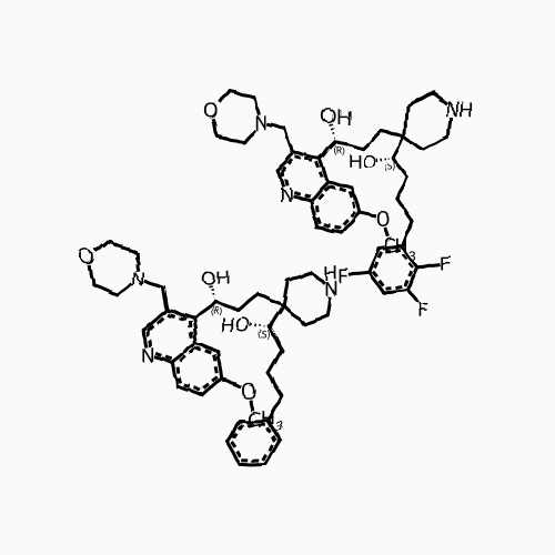 COc1ccc2ncc(CN3CCOCC3)c([C@H](O)CCC3([C@@H](O)CCCc4cc(F)cc(F)c4F)CCNCC3)c2c1.COc1ccc2ncc(CN3CCOCC3)c([C@H](O)CCC3([C@@H](O)CCCc4ccccc4)CCNCC3)c2c1